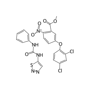 COC(=O)c1cc(Oc2ccc(Cl)cc2Cl)ccc1[N+](=O)[O-].O=C(Nc1ccccc1)Nc1cnns1